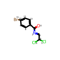 O=C(N=CC(Cl)Cl)c1ccc(Br)cc1